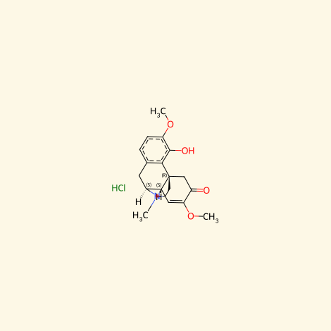 COC1=C[C@@H]2[C@@H]3Cc4ccc(OC)c(O)c4[C@]2(CCN3C)CC1=O.Cl